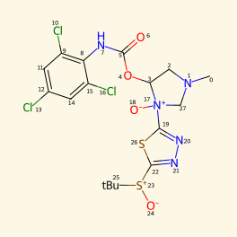 CN1CC(OC(=O)Nc2c(Cl)cc(Cl)cc2Cl)[N+]([O-])(c2nnc([S+]([O-])C(C)(C)C)s2)C1